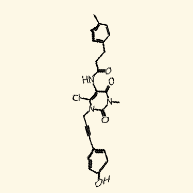 Cc1ccc(CCC(=O)Nc2c(Cl)n(CC#Cc3ccc(O)cc3)c(=O)n(C)c2=O)cc1